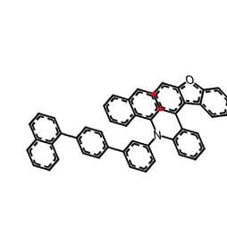 c1cc(-c2ccc(-c3cccc4ccccc34)cc2)cc(N(c2ccccc2-c2cccc3oc4ccccc4c23)c2cccc3ccccc23)c1